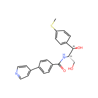 CSc1ccc([C@@H](O)[C@H](CO)NC(=O)c2ccc(-c3ccncc3)cc2)cc1